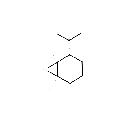 CC(C)[C@@H]1CCC[C@H]2O[C@H]21